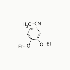 CC#N.CCOc1ccccc1OCC